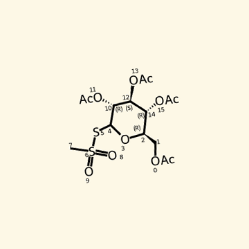 CC(=O)OC[C@H]1OC(SS(C)(=O)=O)[C@H](OC(C)=O)[C@@H](OC(C)=O)[C@@H]1OC(C)=O